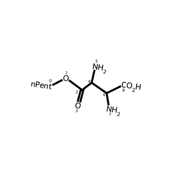 CCCCCOC(=O)C(N)C(N)C(=O)O